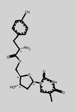 Cc1cn([C@H]2C[C@H](O)[C@@H](COC(=O)[C@@H](N)Cc3ccc(O)cc3)O2)c(=O)[nH]c1=O